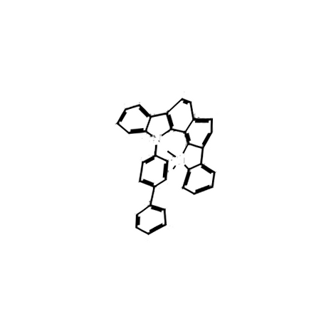 C[Si]1(C)c2ccccc2-c2ccc3ccc4c5ccccc5n(-c5ccc(-c6ccccc6)cc5)c4c3c21